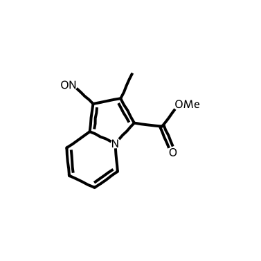 COC(=O)c1c(C)c(N=O)c2ccccn12